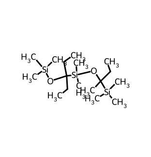 CCC(C)(O[Si](C)(C)C(CC)(CC)O[Si](C)(C)C)[Si](C)(C)C